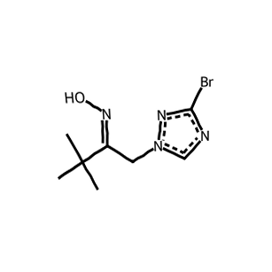 CC(C)(C)C(Cn1cnc(Br)n1)=NO